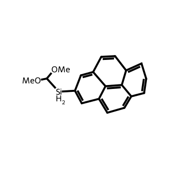 COC(OC)[SiH2]c1cc2ccc3cccc4ccc(c1)c2c34